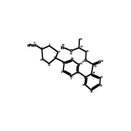 CCCCCC1CCC(c2cnc(-c3ccccc3C(=O)OCC(C)OCC)nc2)CC1